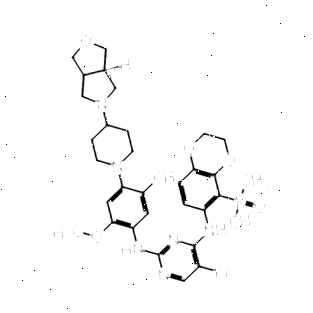 COc1cc(N2CCC(N3CC4COC[C@@H]4C3)CC2)c(C)cc1Nc1ncc(Br)c(Nc2ccc3c(c2P(C)(C)=O)OCCO3)n1